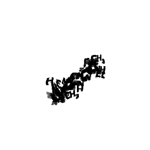 CCNc1nc(Nc2cc(C(C)(C)n3nccn3)nn2C)ncc1C(C)(F)F